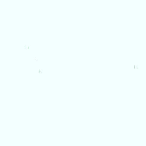 BrCCCCCCCC[Si](Br)(Br)Cc1ccccc1